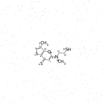 Cc1csc2c(=S)cc(N(C)CCS)oc12